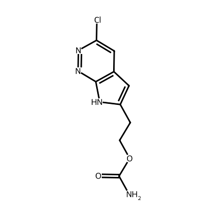 NC(=O)OCCc1cc2cc(Cl)nnc2[nH]1